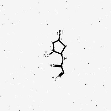 C=CC(=O)OC1CC(CC)CC1C#N